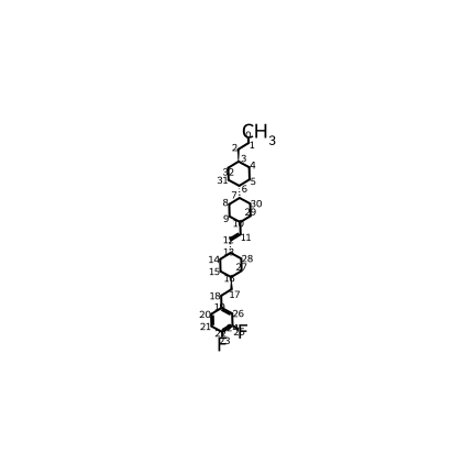 CCC[C@H]1CC[C@H](C2CCC(/C=C/[C@H]3CC[C@H](CCc4ccc(F)c(F)c4)CC3)CC2)CC1